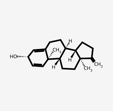 C=C1CC[C@H]2[C@@H]3CCC4=C[C@@H](O)C=C[C@]4(C)[C@H]3CC[C@]12C